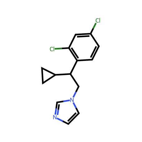 Clc1ccc(C(Cn2ccnc2)C2CC2)c(Cl)c1